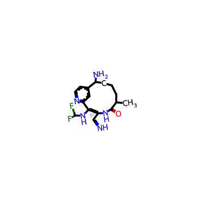 CC1CCCC(N)c2ccnc(c2)/C(NC(F)F)=C(/C=N)NC1=O